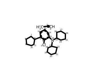 C#CC.Clc1c(C2CCCCC2)cccc1N(C1CCCCC1)C1CCCCC1